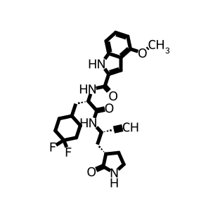 C#C[C@H](C[C@@H]1CCNC1=O)NC(=O)[C@H](CC1CCC(F)(F)CC1)NC(=O)c1cc2c(OC)cccc2[nH]1